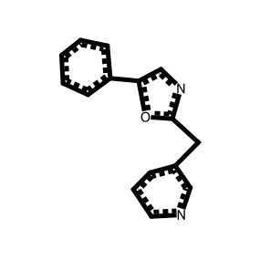 c1ccc(-c2cnc(Cc3cccnc3)o2)cc1